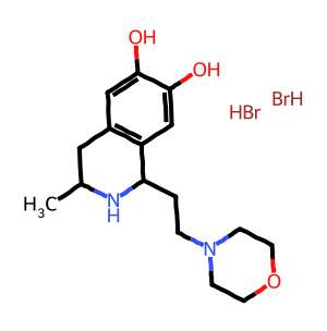 Br.Br.CC1Cc2cc(O)c(O)cc2C(CCN2CCOCC2)N1